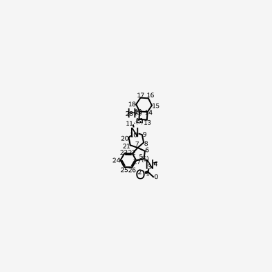 CC(=O)N(C)[C@H]1CC2(CCN(C[C@H]3CC4CCCC[C@@H]43)CC2)c2ccccc21